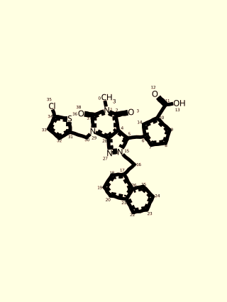 Cn1c(=O)c2c(-c3cccc(C(=O)O)c3)n(Cc3cccc4ccccc34)nc2n(Cc2ccc(Cl)s2)c1=O